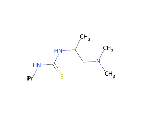 CC(C)NC(=S)NC(C)CN(C)C